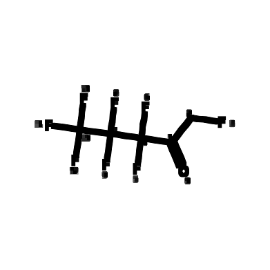 O=C(CF)C(F)(F)C(F)(F)C(F)(F)F